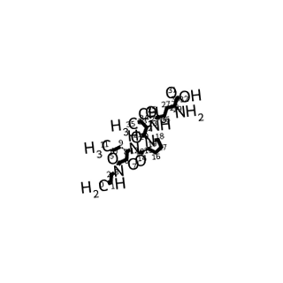 C=CCNC(=O)C(=O)[C@H](CCC)NC(=O)[C@@H]1CCCN1C(=O)[C@@H](NC(=O)CC[C@H](N)C(=O)O)C(C)C